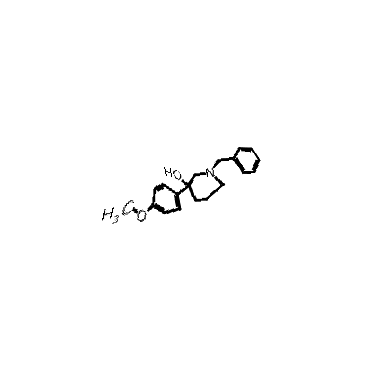 COc1ccc(C2(O)CCCN(Cc3ccccc3)C2)cc1